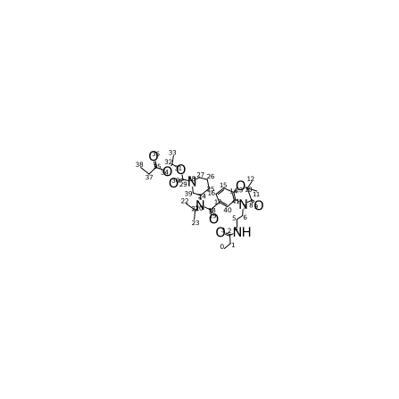 CCC(=O)NCCN1C(=O)C(C)(C)Oc2ccc(C(=O)N(C(C)C)[C@@H]3CCCN(C(=O)OC(C)OC(=O)CC)C3)cc21